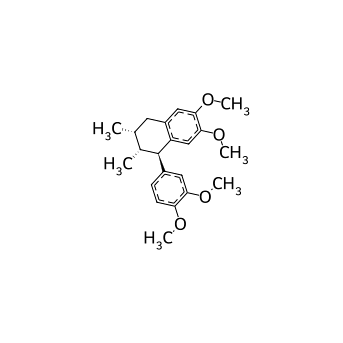 COc1ccc([C@@H]2c3cc(OC)c(OC)cc3C[C@@H](C)[C@H]2C)cc1OC